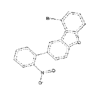 O=[N+]([O-])c1ccccc1-c1ccc2oc3cccc(Br)c3c2c1